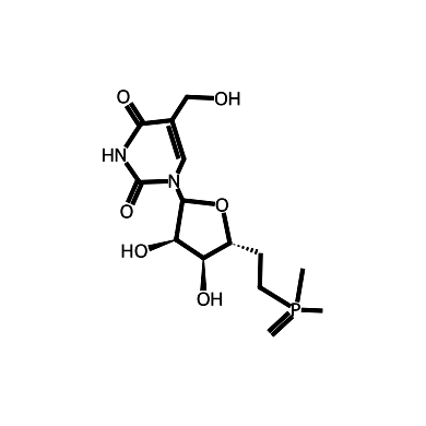 C=P(C)(C)CC[C@H]1OC(n2cc(CO)c(=O)[nH]c2=O)[C@H](O)[C@@H]1O